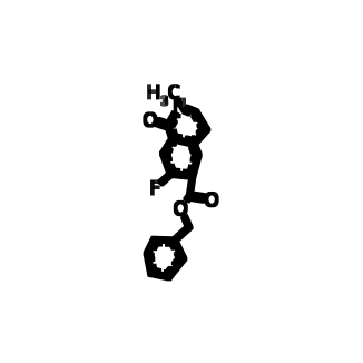 Cn1ccc2cc(C(=O)OCc3ccccc3)c(F)cc2c1=O